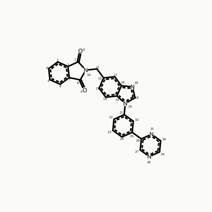 O=C1c2ccccc2C(=O)N1Cc1ccc2c(c1)ncn2-c1cccc(-c2cnccn2)c1